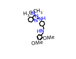 COc1cccc(CNCC2CCC(Nc3nc4c(c(N(C)C)n3)CCCC4)CC2)c1OC